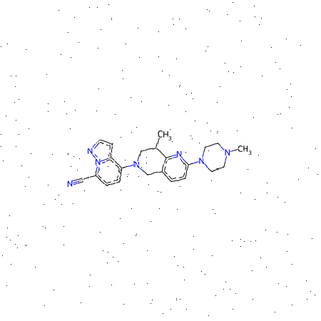 CC1CN(c2ccc(C#N)n3nccc23)Cc2ccc(N3CCN(C)CC3)nc21